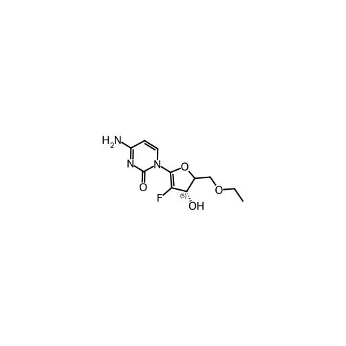 CCOCC1OC(n2ccc(N)nc2=O)=C(F)[C@H]1O